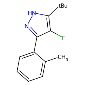 Cc1ccccc1-c1n[nH]c(C(C)(C)C)c1F